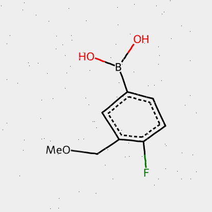 COCc1cc(B(O)O)ccc1F